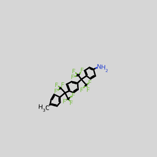 Cc1ccc(C(c2ccc(C(c3ccc(N)cc3)(C(F)(F)F)C(F)(F)F)cc2)(C(F)(F)F)C(F)(F)F)cc1